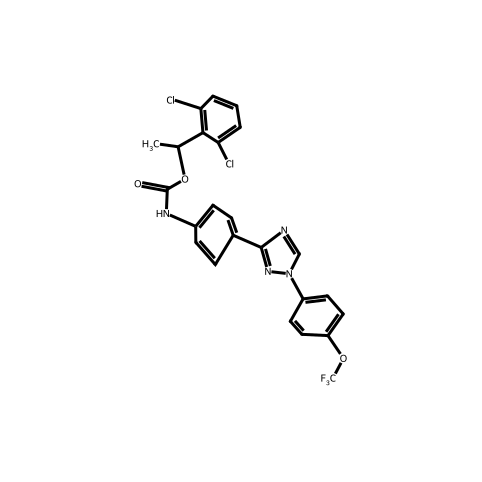 CC(OC(=O)Nc1ccc(-c2ncn(-c3ccc(OC(F)(F)F)cc3)n2)cc1)c1c(Cl)cccc1Cl